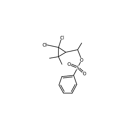 CC(OS(=O)(=O)c1ccccc1)C1C(C)(C)C1(Cl)Cl